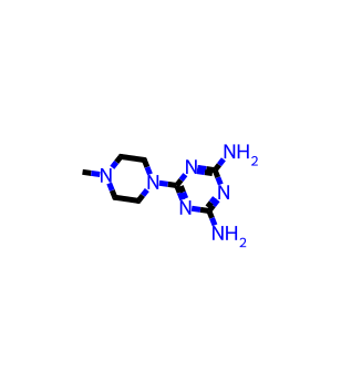 CN1CCN(c2nc(N)nc(N)n2)CC1